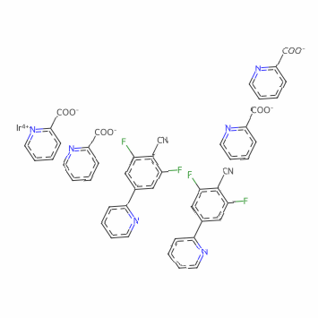 N#Cc1c(F)cc(-c2ccccn2)cc1F.N#Cc1c(F)cc(-c2ccccn2)cc1F.O=C([O-])c1ccccn1.O=C([O-])c1ccccn1.O=C([O-])c1ccccn1.O=C([O-])c1ccccn1.[Ir+4]